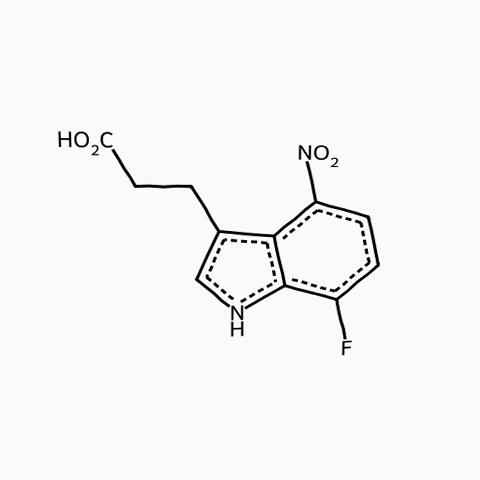 O=C(O)CCc1c[nH]c2c(F)ccc([N+](=O)[O-])c12